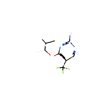 CC(C)[C@@H](C)Oc1nc(N)ncc1C(F)(F)F